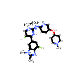 CS(=O)(=O)O.Cc1nc2c(F)cc(-c3nc(Nc4ccc(OC5CCN(C(C)C)CC5)cn4)ncc3F)cc2n1C(C)C